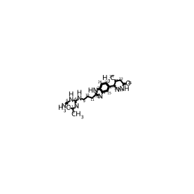 CC(C)N=C(NC#N)NCCCc1nc2cc(C3=NNC(=O)CC3C)ccc2[nH]1